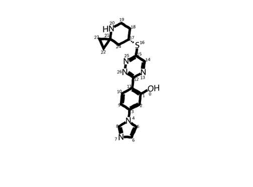 Oc1cc(-n2ccnc2)ccc1-c1ncc(S[C@H]2CCNC3(CC3)C2)nn1